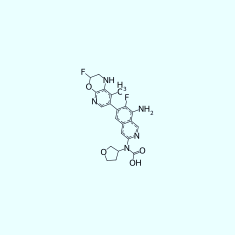 Cc1c(-c2cc3cc(N(C(=O)O)C4CCOC4)ncc3c(N)c2F)cnc2c1NCC(F)O2